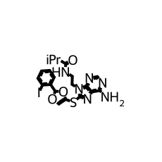 CC(C)C(=O)NCCn1c(SC2=COC(c3ccccc3I)O2)nc2c(N)ncnc21